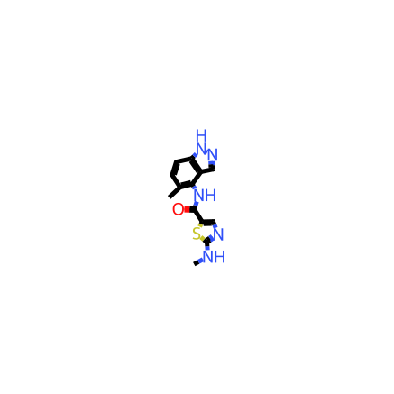 CNc1ncc(C(=O)Nc2c(C)ccc3[nH]ncc23)s1